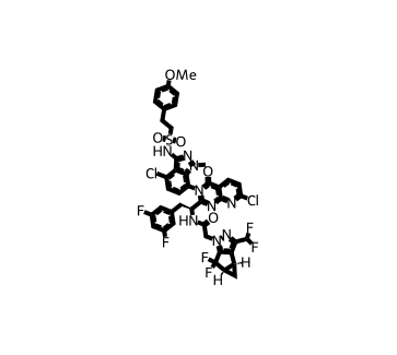 COc1ccc(CCS(=O)(=O)Nc2nn(C)c3c(-n4c([C@H](Cc5cc(F)cc(F)c5)NC(=O)Cn5nc(C(F)F)c6c5C(F)(F)[C@@H]5C[C@H]65)nc5nc(Cl)ccc5c4=O)ccc(Cl)c23)cc1